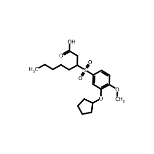 CCCCCC(CC(=O)O)S(=O)(=O)c1ccc(OC)c(OC2CCCC2)c1